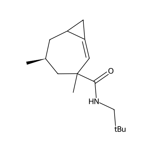 C[C@H]1CC2CC2=CC(C)(C(=O)NCC(C)(C)C)C1